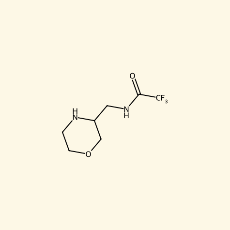 O=C(NCC1COCCN1)C(F)(F)F